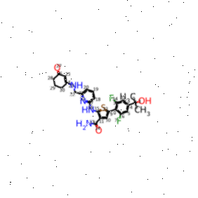 CC(C)(O)c1cc(F)c(-c2cc(C(N)=O)c(Nc3cccc(CNC4=CC(=O)CCC4)n3)s2)c(F)c1